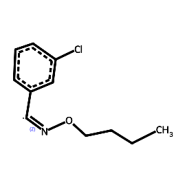 CCCCO/N=[C]\c1cccc(Cl)c1